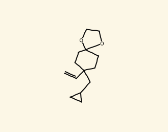 C=CC1(CC2CC2)CCC2(CC1)OCCO2